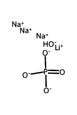 O=P([O-])([O-])[O-].[Li+].[Na+].[Na+].[Na+].[OH-]